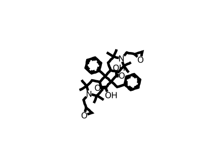 CC1(C)CC(C(c2ccccc2)(C2CC(C)(C)N(CC3CO3)C(C)(C)C2)C(Cc2ccccc2)(C(=O)O)C(=O)O)CC(C)(C)N1CC1CO1